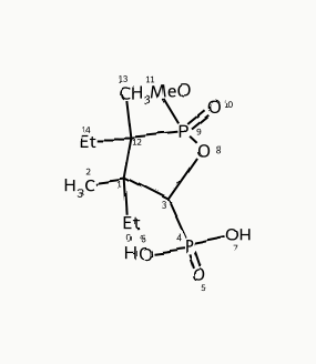 CCC1(C)C(P(=O)(O)O)OP(=O)(OC)C1(C)CC